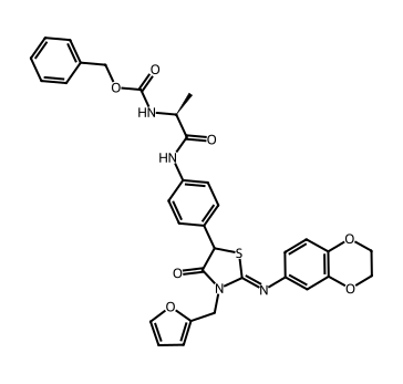 C[C@H](NC(=O)OCc1ccccc1)C(=O)Nc1ccc(C2S/C(=N\c3ccc4c(c3)OCCO4)N(Cc3ccco3)C2=O)cc1